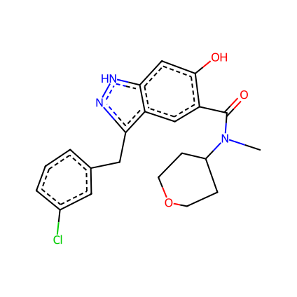 CN(C(=O)c1cc2c(Cc3cccc(Cl)c3)n[nH]c2cc1O)C1CCOCC1